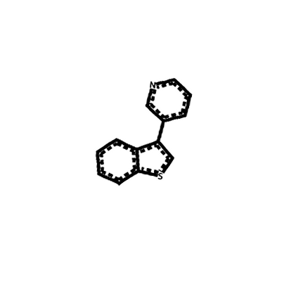 [c]1cccc2c(-c3cccnc3)csc12